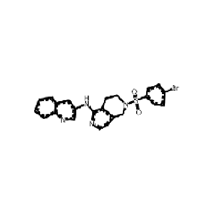 O=S(=O)(c1ccc(Br)cc1)N1CCc2c(ccnc2Nc2cnc3ccccc3c2)C1